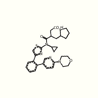 O=C(O)CC(CC1CCCC1)C(=O)N(c1nc(-c2ccccc2-c2ccc(N3CCOCC3)nc2)cs1)C1CC1